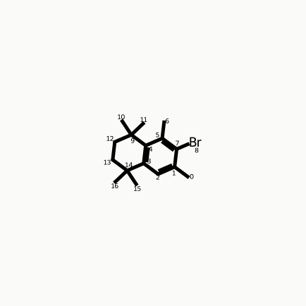 Cc1cc2c(c(C)c1Br)C(C)(C)CCC2(C)C